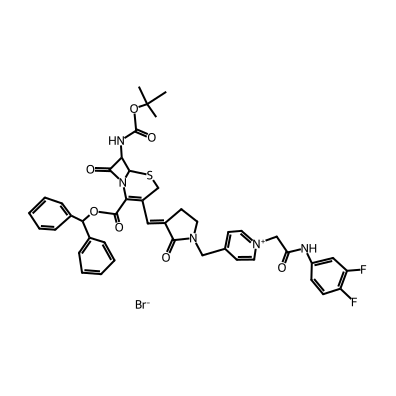 CC(C)(C)OC(=O)NC1C(=O)N2C(C(=O)OC(c3ccccc3)c3ccccc3)=C(C=C3CCN(Cc4cc[n+](CC(=O)Nc5ccc(F)c(F)c5)cc4)C3=O)CSC12.[Br-]